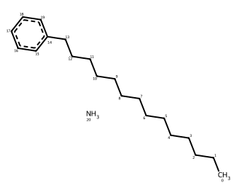 CCCCCCCCCCCC[CH]Cc1ccccc1.N